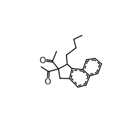 CCCCC1c2c(ccc3ccccc23)CC1(C(C)=O)C(C)=O